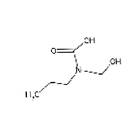 CCCN(CO)C(=O)O